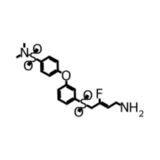 CN(C)S(=O)(=O)c1ccc(Oc2cccc(S(=O)(=O)C/C(F)=C/CN)c2)cc1